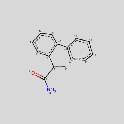 CC(C(N)=O)c1ccccc1-c1ccccc1